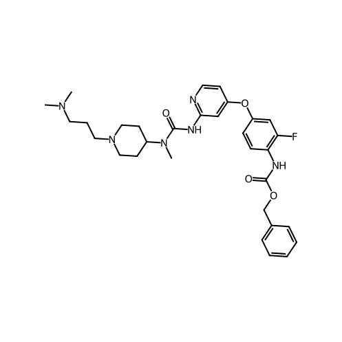 CN(C)CCCN1CCC(N(C)C(=O)Nc2cc(Oc3ccc(NC(=O)OCc4ccccc4)c(F)c3)ccn2)CC1